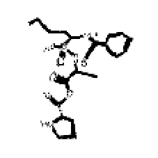 CCCCC(NC(=O)c1ccccc1)P(=O)(O)OC(C)C(=O)OC(=O)[C@@H]1CCCN1